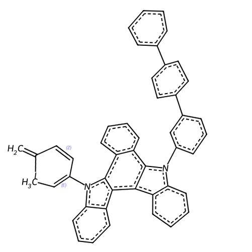 C=C(I)/C=C\C(=C/C)n1c2ccccc2c2c3c4ccccc4n(-c4cccc(-c5ccc(-c6ccccc6)cc5)c4)c3c3ccccc3c21